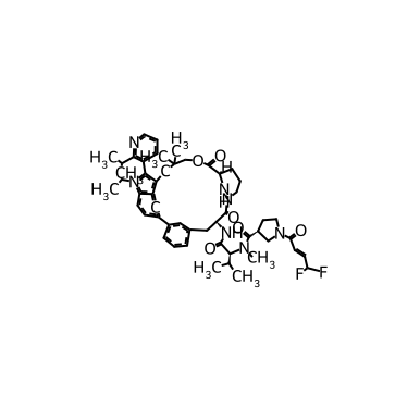 CCn1c(-c2cccnc2C(C)C)c2c3cc(ccc31)-c1cccc(c1)C[C@H](NC(=O)[C@H](C(C)C)N(C)C(=O)[C@H]1CCN(C(=O)/C=C/C(F)F)C1)C(=O)N1CCC[C@H](N1)C(=O)OCC(C)(C)C2